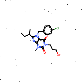 CCC(C)c1nc2c(c(=O)n(CCCO)c(=O)n2C)n1Cc1ccc(Cl)cc1